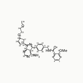 COc1ccccc1C(=O)NCc1ccc(-c2nn([C@H]3C=C[C@H](OCCOI)C3)c3ncnc(N)c23)cc1